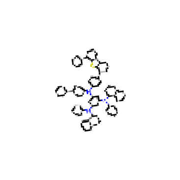 c1ccc(-c2ccc(N(c3ccc(-c4cccc5c4sc4c(-c6ccccc6)cccc45)cc3)c3cc(N(c4ccccc4)c4cccc5ccccc45)cc(N(c4ccccc4)c4cccc5ccccc45)c3)cc2)cc1